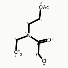 CC(=O)OCCN(CC(F)(F)F)C(=O)CCl